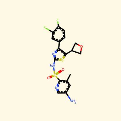 Cc1cc(N)cnc1S(=O)(=O)Nc1nc(-c2ccc(F)c(F)c2)c(C2COC2)s1